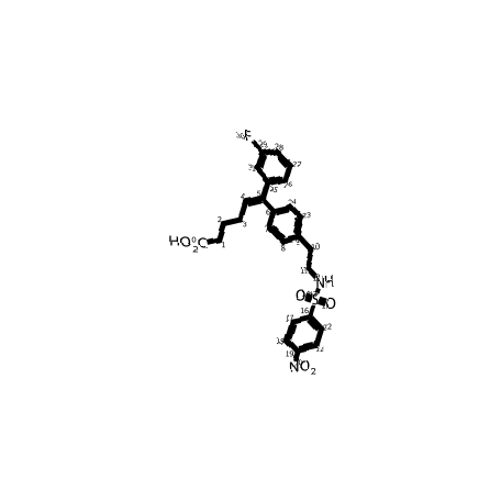 O=C(O)CCC/C=C(\c1ccc(CCNS(=O)(=O)c2ccc([N+](=O)[O-])cc2)cc1)c1cccc(F)c1